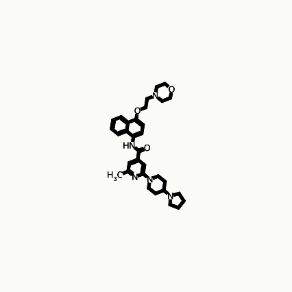 Cc1cc(C(=O)Nc2ccc(OCCN3CCOCC3)c3ccccc23)cc(N2CCC(N3CCCC3)CC2)n1